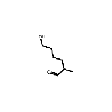 CC([C]=O)CCCCO